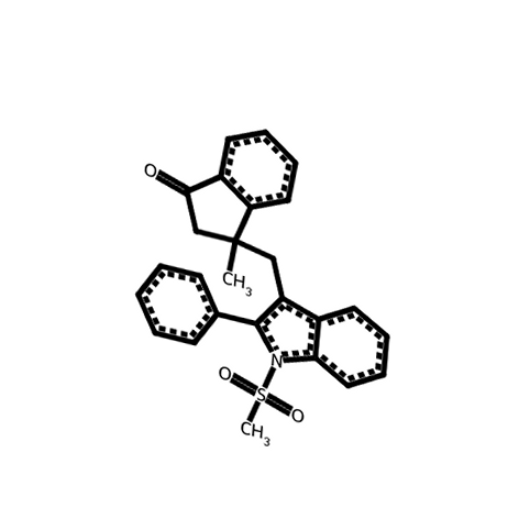 CC1(Cc2c(-c3ccccc3)n(S(C)(=O)=O)c3ccccc23)CC(=O)c2ccccc21